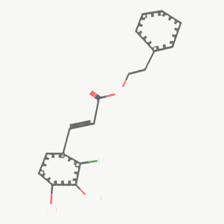 O=C(/C=C/c1ccc(O)c(O)c1Br)OCCc1ccccc1